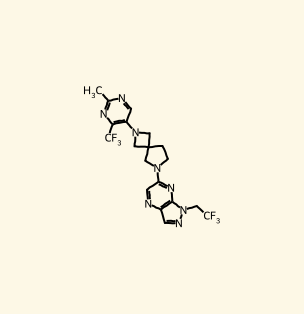 Cc1ncc(N2CC3(CCN(c4cnc5cnn(CC(F)(F)F)c5n4)C3)C2)c(C(F)(F)F)n1